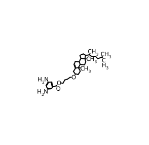 CC(C)CCCC(C)C1CCC2C3CC=C4CC(OCCCCOC(=O)c5cc(N)cc(N)c5)CCC4(C)C3CCC12C